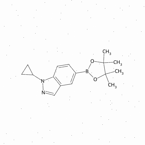 CC1(C)OB(c2ccc3c(cnn3C3CC3)c2)OC1(C)C